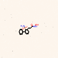 NS(=O)(=O)c1c(C=CC(=O)NO)cccc1-c1ccccc1